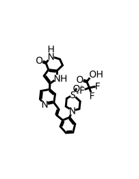 O=C(O)C(F)(F)F.O=C1NCCc2[nH]c(-c3ccnc(/C=C/c4ccccc4N4CC[S+]([O-])CC4)c3)cc21